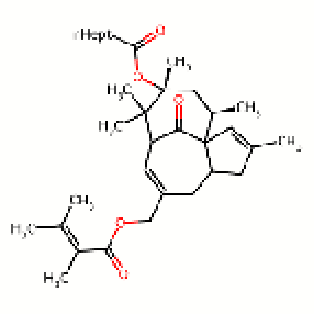 CCCCCCCC(=O)O[C@]1(C)C[C@@H](C)C23C=C(C)CC2CC(COC(=O)C(C)=C(C)C)=CC(C3=O)C1(C)C